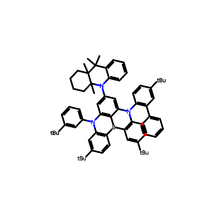 CC(C)(C)c1cccc(N2c3cc(C(C)(C)C)ccc3B3c4cc(C(C)(C)C)ccc4N(c4ccc(C(C)(C)C)cc4-c4ccccc4)c4cc(N5c6ccccc6C(C)(C)C6(C)CCCCC56C)cc2c43)c1